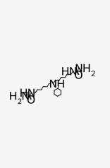 C1CCCCC1.NC(=O)NCCCCCCNCCCCCCNC(N)=O